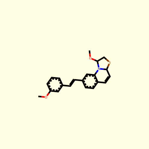 COc1cccc(/C=C/c2ccc3c(c2)N2C(OC)CSC2C=C3)c1